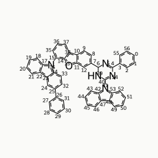 c1ccc(C2=NC(c3ccc4c(c3)oc3c(-n5c6ccccc6c6cc(-c7ccccc7)ccc65)cccc34)NC(n3c4ccccc4c4ccccc43)=N2)cc1